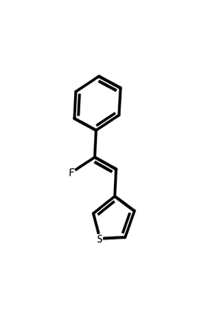 F/C(=C\c1ccsc1)c1ccccc1